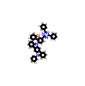 c1ccc(-c2nc(-c3ccccc3)nc(-c3ccc(-n4c5ccccc5c5cc6c(cc54)c4ccccc4n6-c4ccccc4)c4c3oc3ccccc34)n2)cc1